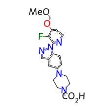 COCOc1ccnc(-n2ncc3cc(N4CCN(C(=O)O)CC4)ccc32)c1F